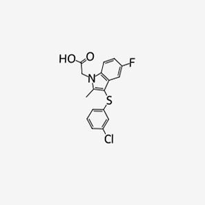 Cc1c(Sc2cccc(Cl)c2)c2cc(F)ccc2n1CC(=O)O